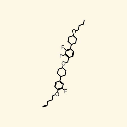 C=CCCCOc1ccc(C2CCC(OCc3ccc(C4CCC(OCCCC)CC4)c(F)c3F)CC2)cc1F